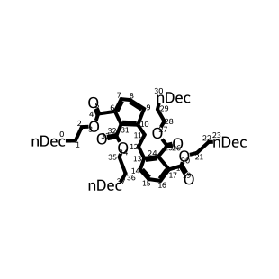 CCCCCCCCCCCCOC(=O)c1cccc(CCc2cccc(C(=O)OCCCCCCCCCCCC)c2C(=O)OCCCCCCCCCCCC)c1C(=O)OCCCCCCCCCCCC